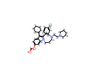 O=COc1ccc2c(C3CCCCC3)c3n(c2c1)CCCN(CCN1CCCCC1)c1cc(Cl)ccc1-3